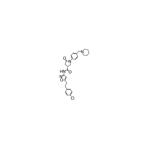 O=C(Nc1cc(CCc2ccc(Cl)cc2)on1)[C@H]1CC(=O)N(c2ccc(CN3CCCCC3)cc2)C1